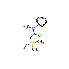 CN(c1ccccc1)C(Cl)CS(C)(C)C